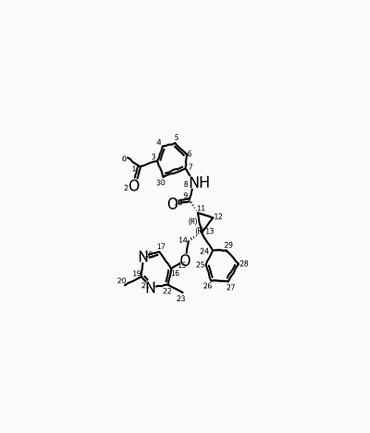 CC(=O)c1cccc(NC(=O)[C@@H]2C[C@@]2(COc2cnc(C)nc2C)C2C=CC=CC2)c1